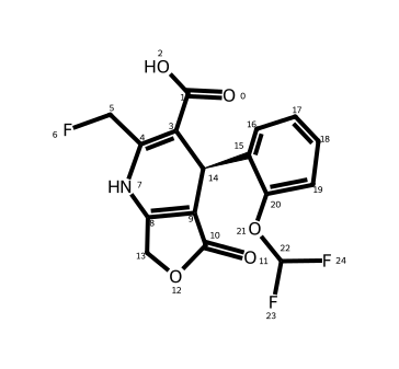 O=C(O)C1=C(CF)NC2=C(C(=O)OC2)[C@@H]1c1ccccc1OC(F)F